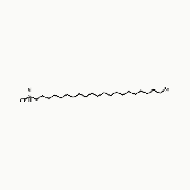 Cl[SiH](Cl)CCCCCCCCCCCCCCCCCCCCCBr